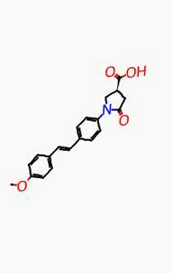 COc1ccc(/C=C/c2ccc(N3C[C@@H](C(=O)O)CC3=O)cc2)cc1